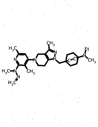 C=NN(C)c1nc(C)cc(N2CCc3c(c(C)nn3CC34CCC(N(C)CC)(CC3)CC4)C2)c1C